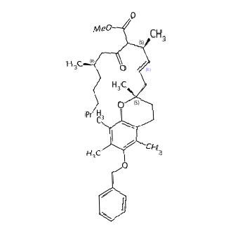 COC(=O)C(C(=O)C[C@H](C)CCCC(C)C)[C@@H](C)/C=C/C[C@]1(C)CCc2c(C)c(OCc3ccccc3)c(C)c(C)c2O1